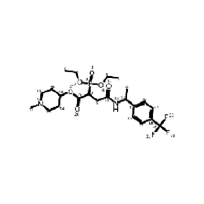 CCOP(=O)(OCC)C(CC(=O)NC(C)c1ccc(C(F)(F)F)cc1)C(=O)OC1CCN(C)CC1